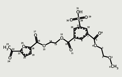 COCCOC(=O)c1cc(C(=O)OCCOC(=O)c2ccc(C(C)=O)o2)cc(S(=O)(=O)O)c1